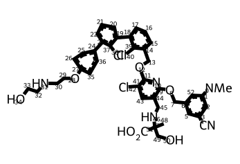 CNc1cc(C#N)cc(COc2nc(OCc3cccc(-c4cccc(-c5ccc(OCCNCCO)cc5)c4Cl)c3Cl)c(Cl)cc2CNC(C)(CO)C(=O)O)c1